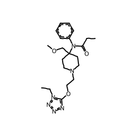 CCC(=O)N(c1ccccc1)C1(COC)CCN(CCOc2nnnn2CC)CC1